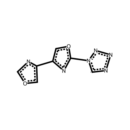 [c]1nnnn1-c1nc(-c2cocn2)co1